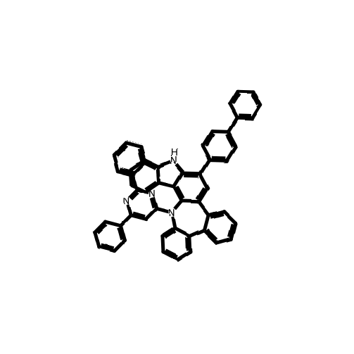 c1ccc(-c2ccc(-c3cc4c(c5c3[nH]c3ccccc35)N(c3cc(-c5ccccc5)nc(-c5ccccc5)n3)c3ccccc3-c3ccccc3-4)cc2)cc1